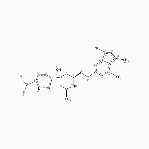 C[C@H]1C[C@@](O)(c2ccc(C(F)F)nc2)C[C@@H](COc2cc(C(F)(F)F)c3c(c2)c(F)nn3C)N1